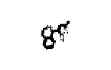 Cc1cc(C2[N]CCc3ccccc32)[nH]n1